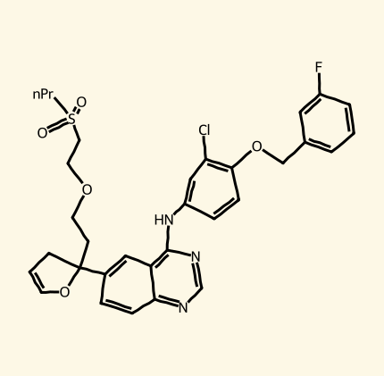 CCCS(=O)(=O)CCOCCC1(c2ccc3ncnc(Nc4ccc(OCc5cccc(F)c5)c(Cl)c4)c3c2)CC=CO1